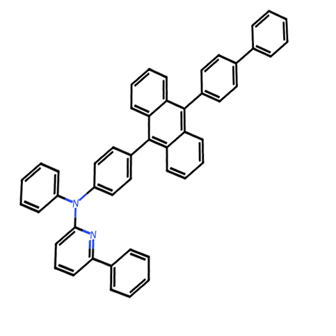 c1ccc(-c2ccc(-c3c4ccccc4c(-c4ccc(N(c5ccccc5)c5cccc(-c6ccccc6)n5)cc4)c4ccccc34)cc2)cc1